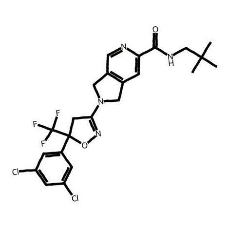 CC(C)(C)CNC(=O)c1cc2c(cn1)CN(C1=NOC(c3cc(Cl)cc(Cl)c3)(C(F)(F)F)C1)C2